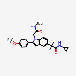 CC(C)(C)NC(=O)Cn1c(-c2ccc(OC(F)(F)F)cc2)cc2cc(C(C)(C)C(=O)NC3CC3)ccc21